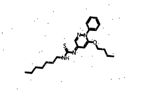 CCCCCCCNC(=S)N=c1cnn(-c2ccccc2)c(OCCCC)c1